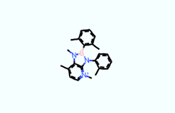 Cc1ccccc1N1B(c2c(C)cccc2C)N(C)c2c(C)cc[n+](C)c21